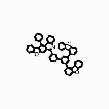 c1ccc(-c2c3c(cc4c(-c5cccc(-c6cc(-c7cccc8oc9ccccc9c78)cc(-c7cccc8oc9ccccc9c78)c6)c5)nc5ccccc5c24)oc2ccccc23)cc1